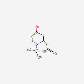 C=CCC(CC(O)=S)N(C)[Si](C)(C)C